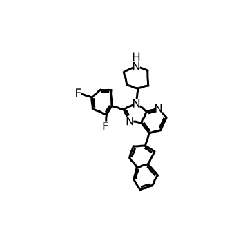 Fc1ccc(-c2nc3c(-c4ccc5ccccc5c4)ccnc3n2C2CCNCC2)c(F)c1